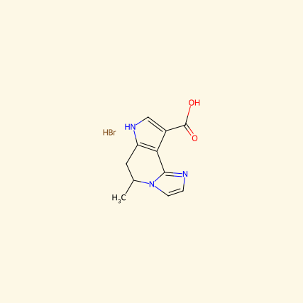 Br.CC1Cc2[nH]cc(C(=O)O)c2-c2nccn21